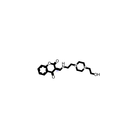 O=C1Oc2ccccc2C(=O)/C1=C/NCCN1CCN(CCO)CC1